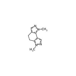 Cn1ncc2c1CCc1cnn(C)c1-2